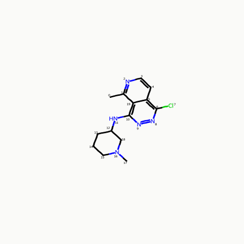 Cc1nccc2c(Cl)nnc(NC3CCCN(C)C3)c12